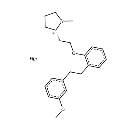 COc1cccc(CCc2ccccc2OCC[C@@H]2CCCN2C)c1.Cl